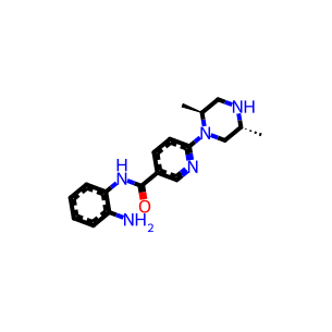 C[C@@H]1CN(c2ccc(C(=O)Nc3ccccc3N)cn2)[C@@H](C)CN1